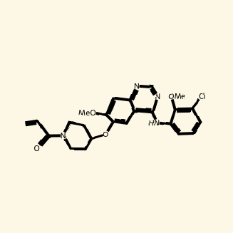 C=CC(=O)N1CCC(Oc2cc3c(Nc4cccc(Cl)c4OC)ncnc3cc2OC)CC1